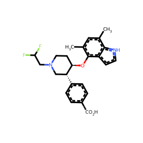 Cc1cc(C)c2[nH]ccc2c1O[C@@H]1CCN(CC(F)F)C[C@H]1c1ccc(C(=O)O)cc1